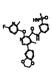 Cc1nc(F)ccc1Oc1ncc(-c2ccc3c(c2)OCCO3)c(C)c1C(=O)Nc1cccc([S@](C)(=N)=O)c1